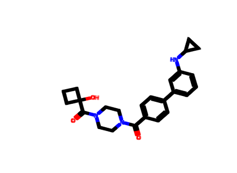 O=C(c1ccc(-c2cccc(NC3CC3)c2)cc1)N1CCN(C(=O)C2(O)CCC2)CC1